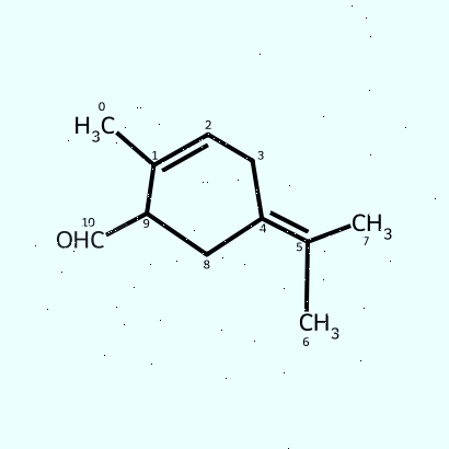 CC1=CCC(=C(C)C)CC1C=O